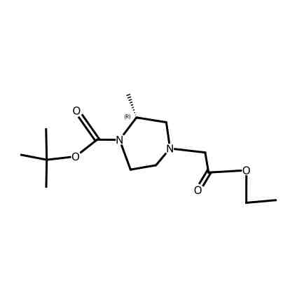 CCOC(=O)CN1CCN(C(=O)OC(C)(C)C)[C@H](C)C1